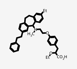 CCOC(Cc1ccc(OCCN(C)C2c3ccc(CC)cc3CCc3ccc(CCc4ccccc4)cc32)cc1)C(=O)O